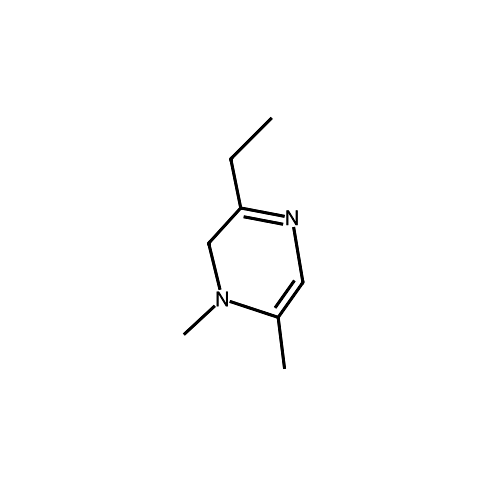 CCC1=NC=C(C)N(C)C1